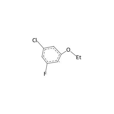 CCOc1[c]c(F)cc(Cl)c1